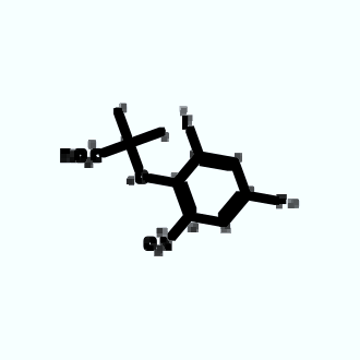 CCOC(=O)C(C)(C)Oc1c(F)cc(F)cc1[N+](=O)[O-]